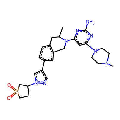 CC1Cc2ccc(-c3cnn(C4CCS(=O)(=O)C4)c3)cc2CN1c1cc(N2CCN(C)CC2)nc(N)n1